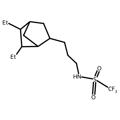 CCC1C2CC(CCCNS(=O)(=O)C(F)(F)F)C(C2)C1CC